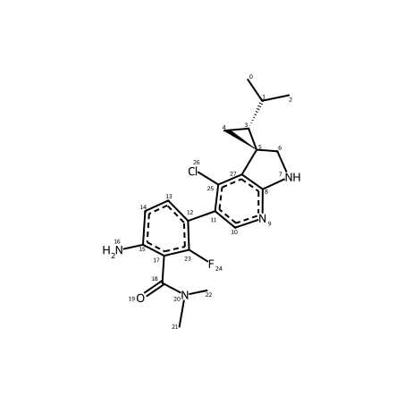 CC(C)[C@H]1C[C@]12CNc1ncc(-c3ccc(N)c(C(=O)N(C)C)c3F)c(Cl)c12